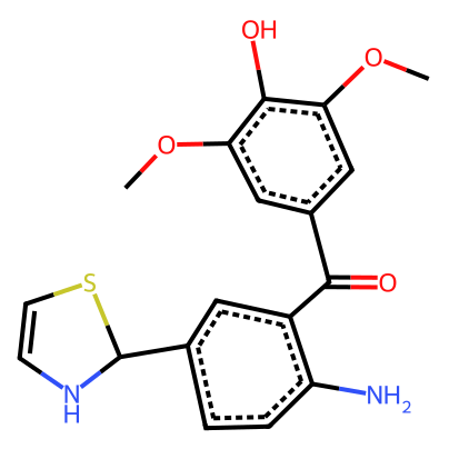 COc1cc(C(=O)c2cc(C3NC=CS3)ccc2N)cc(OC)c1O